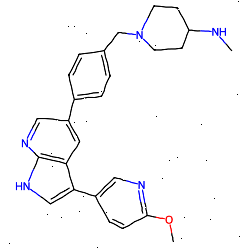 CNC1CCN(Cc2ccc(-c3cnc4[nH]cc(-c5ccc(OC)nc5)c4c3)cc2)CC1